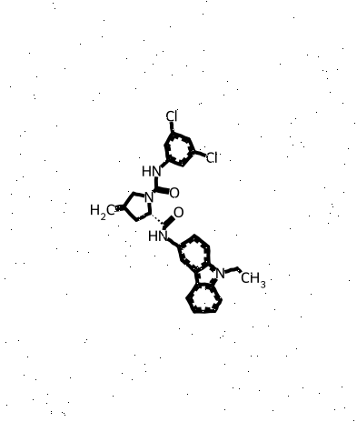 C=C1C[C@@H](C(=O)Nc2ccc3c(c2)c2ccccc2n3CC)N(C(=O)Nc2cc(Cl)cc(Cl)c2)C1